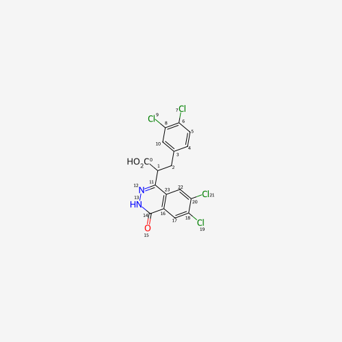 O=C(O)C(Cc1ccc(Cl)c(Cl)c1)c1n[nH]c(=O)c2cc(Cl)c(Cl)cc12